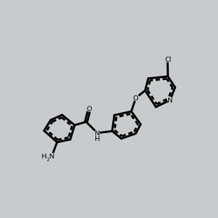 Nc1cccc(C(=O)Nc2cccc(Oc3cncc(Cl)c3)c2)c1